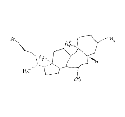 CC(C)CCC[C@@H](C)C1CCC2C3C(C)C[C@H]4CC(C)CC[C@]4(C)C3CC[C@@]21C